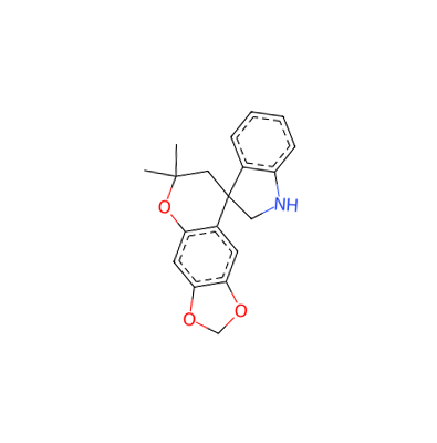 CC1(C)CC2(CNc3ccccc32)c2cc3c(cc2O1)OCO3